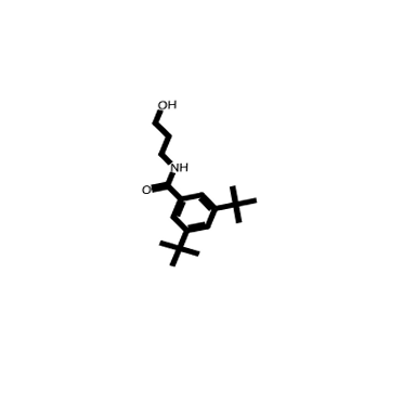 CC(C)(C)c1cc(C(=O)NCCCO)cc(C(C)(C)C)c1